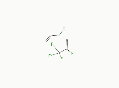 C=C(F)C(F)(F)F.C=CCF